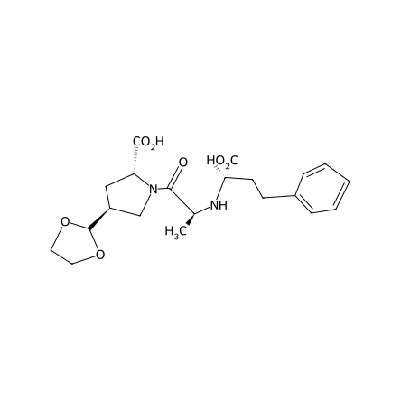 C[C@H](N[C@@H](CCc1ccccc1)C(=O)O)C(=O)N1C[C@@H](C2OCCO2)C[C@@H]1C(=O)O